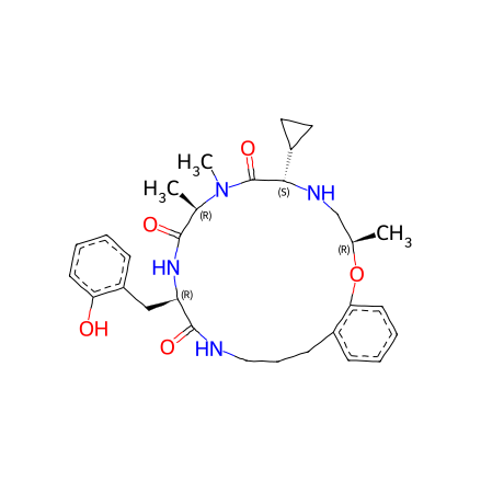 C[C@@H]1CN[C@@H](C2CC2)C(=O)N(C)[C@H](C)C(=O)N[C@H](Cc2ccccc2O)C(=O)NCCCc2ccccc2O1